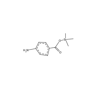 C[Si](C)(C)OC(=O)c1ccc(N)cc1